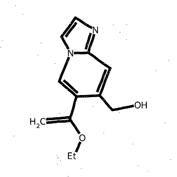 C=C(OCC)c1cn2ccnc2cc1CO